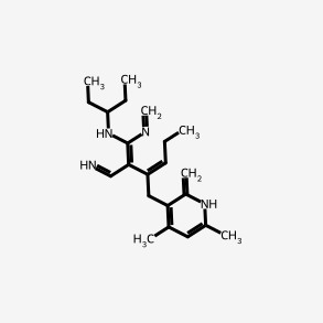 C=N/C(NC(CC)CC)=C(C=N)\C(=C/CC)CC1=C(C)C=C(C)NC1=C